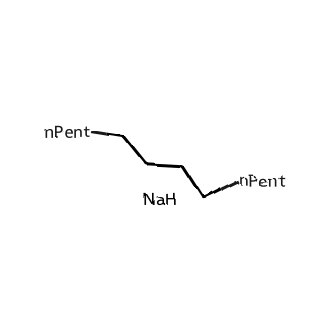 [CH2]CCCCCCCCCCCCC.[NaH]